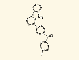 O=C(c1ccc(I)cc1)c1ccc(-c2cccc3c2[nH]c2ccccc23)cc1